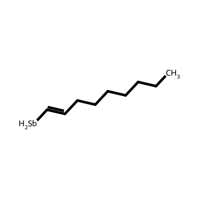 CCCCCCCC=[CH][SbH2]